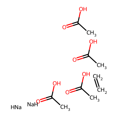 C=C.CC(=O)O.CC(=O)O.CC(=O)O.CC(=O)O.[NaH].[NaH]